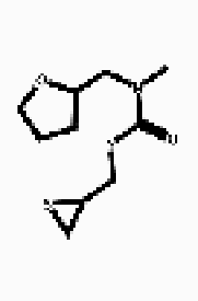 CN(CC1CCCO1)C(=O)SCC1CS1